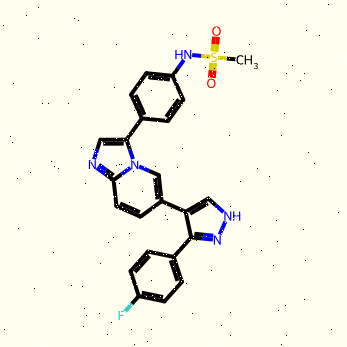 CS(=O)(=O)Nc1ccc(-c2cnc3ccc(-c4c[nH]nc4-c4ccc(F)cc4)cn23)cc1